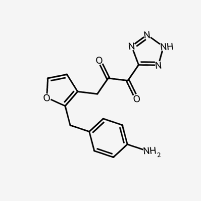 Nc1ccc(Cc2occc2CC(=O)C(=O)c2nn[nH]n2)cc1